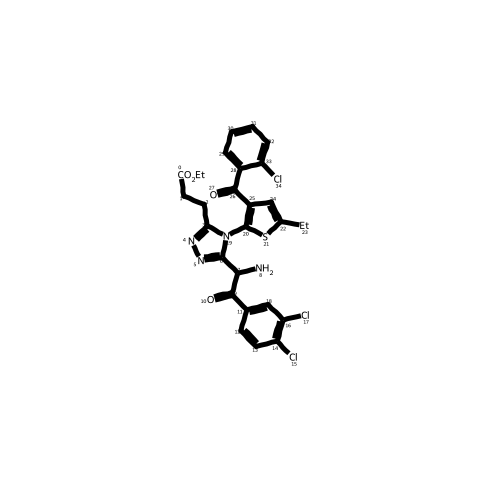 CCOC(=O)CCc1nnc(C(N)C(=O)c2ccc(Cl)c(Cl)c2)n1-c1sc(CC)cc1C(=O)c1ccccc1Cl